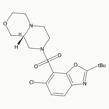 CC(C)(C)c1nc2ccc(Cl)c(S(=O)(=O)N3CCN4CCOC[C@H]4C3)c2o1